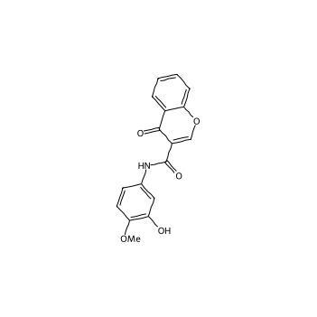 COc1ccc(NC(=O)c2coc3ccccc3c2=O)cc1O